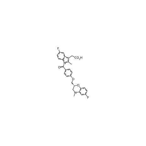 Cc1c(CC(=O)O)c2cc(F)ccc2n1C(=O)c1ccc(OC[C@@H]2CN(C)c3cc(F)ccc3O2)cc1